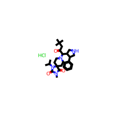 CC(C)N1C(=O)N(C)C(=O)C12CCN(C(C(=O)CC(C)(C)C)C1CNCC1c1ccccc1)CC2.Cl